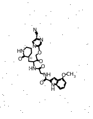 COc1cccc2[nH]c(C(=O)NCC(=O)NC(C[C@@H]3CCCNC3=O)C(=O)COc3cnc(C#N)cn3)cc12